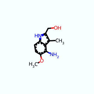 COc1ccc2[nH]c(CO)c(C)c2c1N